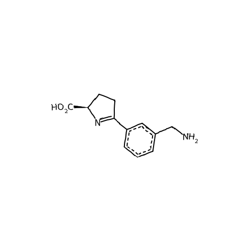 NCc1cccc(C2=N[C@@H](C(=O)O)CC2)c1